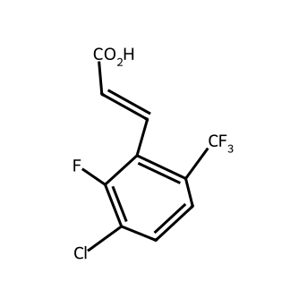 O=C(O)/C=C/c1c(C(F)(F)F)ccc(Cl)c1F